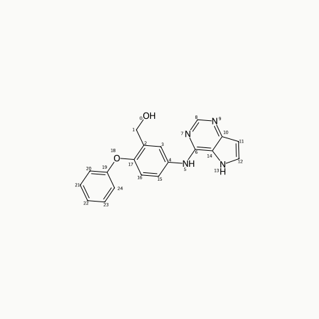 OCc1cc(Nc2ncnc3cc[nH]c23)ccc1Oc1ccccc1